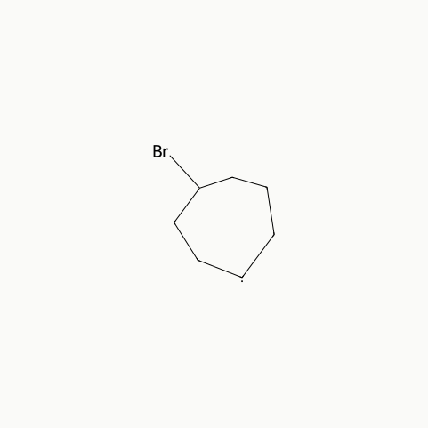 BrC1CC[CH]CCC1